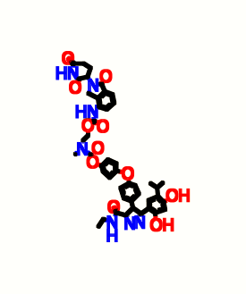 CCNC(=O)C1=NN=C(c2cc(C(C)C)c(O)cc2O)C1c1ccc(Oc2ccc(OC(=O)N(C)CCOC(=O)Nc3cccc4c3CN(C3CCC(=O)NC3=O)C4=O)cc2)cc1